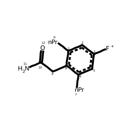 CCCc1cc(F)cc(CCC)c1CC(N)=O